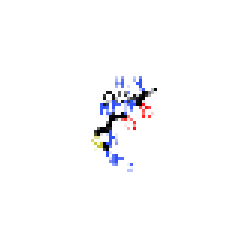 CON=C(C(=O)NC(=O)[C@H](C)N)c1csc(N)n1